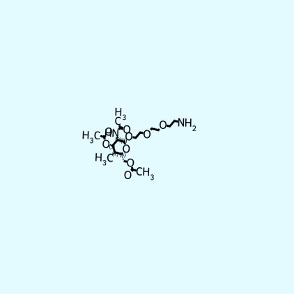 CC(=O)N[C@H]1[C@H](OCCOCCOCCN)O[C@H](COC(C)=O)[C@H](C)[C@@H]1OC(C)=O